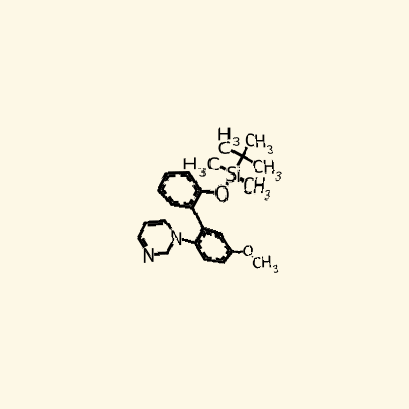 COc1ccc(N2C=CC=NC2)c(-c2ccccc2O[Si](C)(C)C(C)(C)C)c1